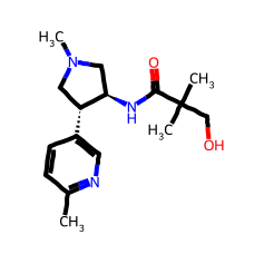 Cc1ccc([C@@H]2CN(C)C[C@H]2NC(=O)C(C)(C)CO)cn1